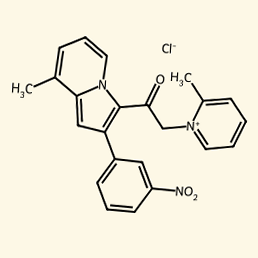 Cc1cccn2c(C(=O)C[n+]3ccccc3C)c(-c3cccc([N+](=O)[O-])c3)cc12.[Cl-]